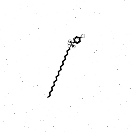 CCCCCCCCCCCCCCCCCCCCOS(=O)(=O)c1ccc(Cl)cc1